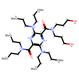 COCCN(CCOC)C(=O)c1nc(N(CCOC)CCOC)c(C(=O)N(CCCO)CCCO)nc1N(CCOC)CCOC